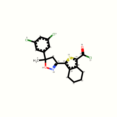 CC1(c2cc(Cl)cc(Cl)c2)CC(c2sc(C(=O)Cl)c3c2CCCC3)=NO1